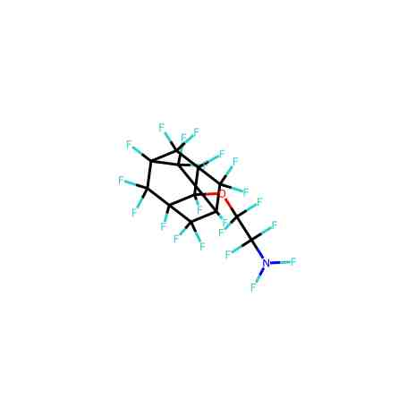 FN(F)C(F)(F)C(F)(F)OC1(F)C2(F)C(F)(F)C3(F)C(F)(F)C(F)(C2(F)F)C(F)(F)C1(F)C3(F)F